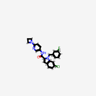 O=C(Nc1ccc(N2CCC2)nc1)c1cc2ccc(Cl)cc2n1Cc1cccc(F)c1